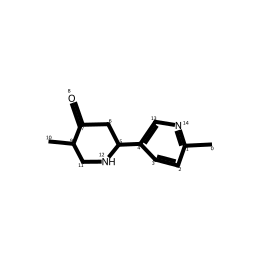 Cc1ccc(C2CC(=O)C(C)CN2)cn1